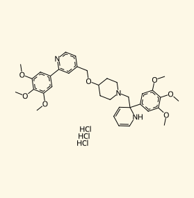 COc1cc(-c2cc(COC3CCN(CC4(c5cc(OC)c(OC)c(OC)c5)C=CC=CN4)CC3)ccn2)cc(OC)c1OC.Cl.Cl.Cl